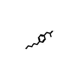 [CH2]C(C)Cc1ccc(CCCCC)cc1